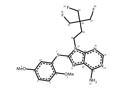 COc1ccc(OC)c(Sc2nc3c(N)ncnc3n2CCC(CF)(CF)CF)c1